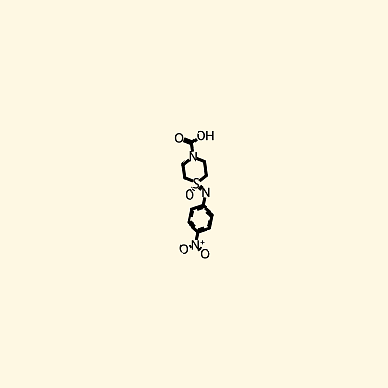 O=C(O)N1CCS(=O)(=Nc2ccc([N+](=O)[O-])cc2)CC1